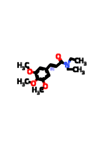 CCN(CC)C(=O)/C=C/c1cc(OC)c(OC)c(OC)c1